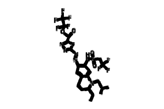 CCC1CCc2cc(N=Nc3nnc(C(=O)OC(F)(F)C(F)(F)F)s3)c(NS(=O)(=O)CC(F)(F)F)cc2N1CC(C)C